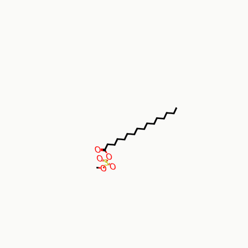 CCCCCCCCCCCCCCCC(=O)OS(=O)(=O)OC